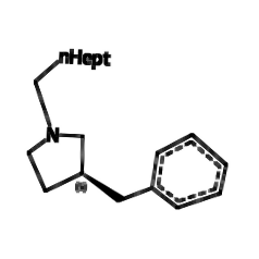 CCCCCCCCN1CC[C@H](Cc2ccccc2)C1